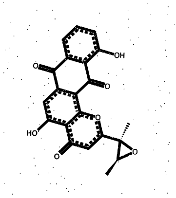 C[C@@H]1O[C@]1(C)c1cc(=O)c2c(O)cc3c(c2o1)C(=O)c1c(O)cccc1C3=O